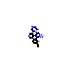 C#Cc1cccc(/C(NN)=C(/C(=C)N2CCN(C)CC2)c2ccncc2)c1